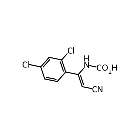 N#C/C=C(\NC(=O)O)c1ccc(Cl)cc1Cl